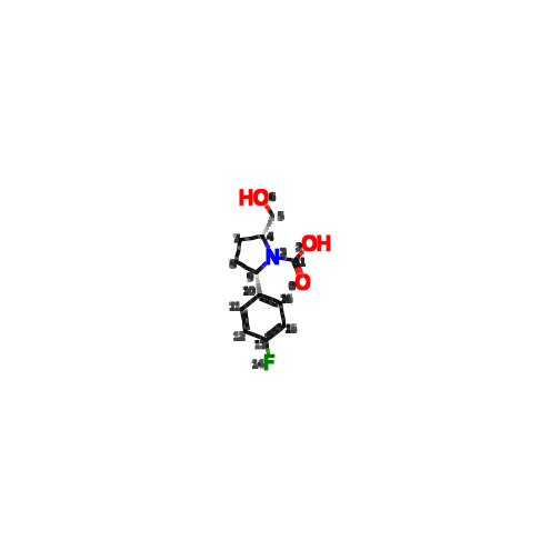 O=C(O)N1[C@@H](CO)CC[C@H]1c1ccc(F)cc1